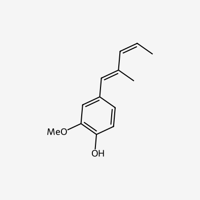 C/C=C\C(C)=C\c1ccc(O)c(OC)c1